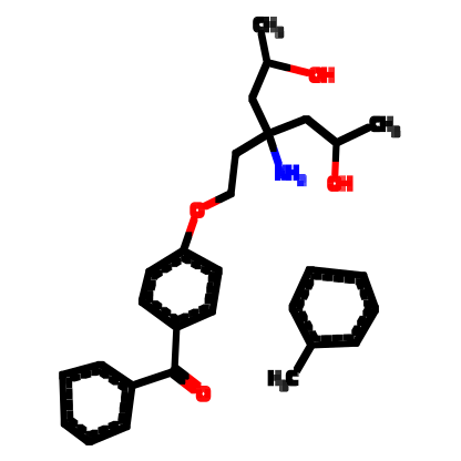 CC(O)CC(N)(CCOc1ccc(C(=O)c2ccccc2)cc1)CC(C)O.Cc1ccccc1